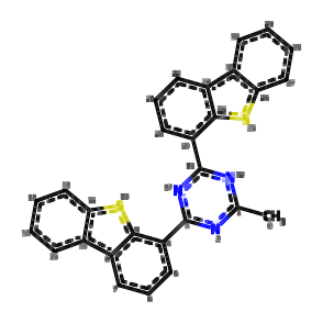 Cc1nc(-c2cccc3c2sc2ccccc23)nc(-c2cccc3c2sc2ccccc23)n1